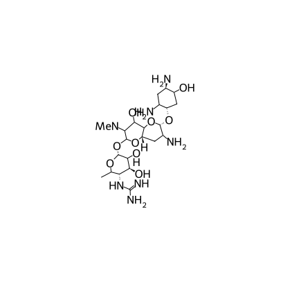 CNC1C(O[C@H]2OC(C)[C@@H](NC(=N)N)[C@H](O)C2O)O[C@H]2CC(N)[C@@H](O[C@H]3CC(O)[C@H](N)CC3N)OC2C1O